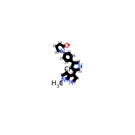 Cc1cn(C)c2nccc(-c3cncc(-c4ccc(N5CCCC5=O)cc4)c3)c12